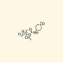 CC(C)(C)OC(=O)N[C@H]1CC[C@@]2(CC1)CO2